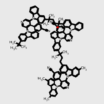 Cc1ccc2c(c1)c1cc(C)ccc1n2-c1cncc(-n2c3ccc(C)cc3c3cc(CCC(C)(C)c4ccc5c6ccccc6n(-c6cncc(-n7c8ccccc8c8ccc(C(C)(C)CCC(C)(C)c9ccc%10c(c9)c9ccccc9n%10-c9cncc(-n%10c%11ccccc%11c%11cc(C(C)(C)C)ccc%11%10)c9-c9ccc(C#N)cc9)cc87)c6-c6ccc(C#N)cc6)c5c4)ccc32)c1-c1ccc(C#N)cc1